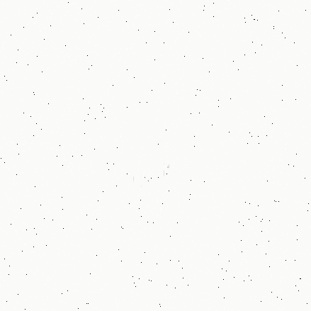 CC(C)=C[SiH](N)Oc1ccccc1